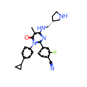 Cc1c(NC[C@@H]2CCNC2)nc(-c2ccc(C#N)c(F)c2)n(-c2ccc(C3CC3)cc2)c1=O